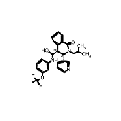 CC(C)CN1C(=O)c2ccccc2[C@H](C(O)Nc2cccc(OC(F)(F)F)c2)[C@H]1c1cccnc1